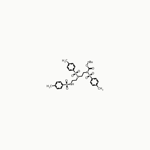 CCCCOC(=O)N(CCN(CCNS(=O)(=O)c1ccc(C)cc1)S(=O)(=O)c1ccc(C)cc1)S(=O)(=O)c1ccc(C)cc1